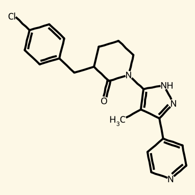 Cc1c(-c2ccncc2)n[nH]c1N1CCCC(Cc2ccc(Cl)cc2)C1=O